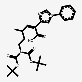 CC(C=C(C(=O)O)c1cn(-c2ccccc2)cn1)CCN(C(=O)OC(C)(C)C)C(=O)OC(C)(C)C